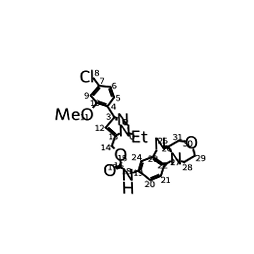 CCn1nc(-c2ccc(Cl)cc2OC)cc1COC(=O)Nc1ccc2c(c1)nc1n2CCOC1